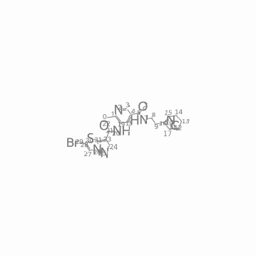 Cc1ncc(C(=O)NCCN2CC3CCC2CC3)cc1NC(=O)c1cnn2cc(Br)sc12